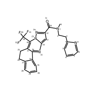 CN(CCc1ccccn1)C(=O)c1cc2nc3c(c(C(F)(F)F)n2n1)CCc1ccccc1-3